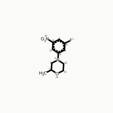 CC1CN(c2cc(F)cc([N+](=O)[O-])c2)CCO1